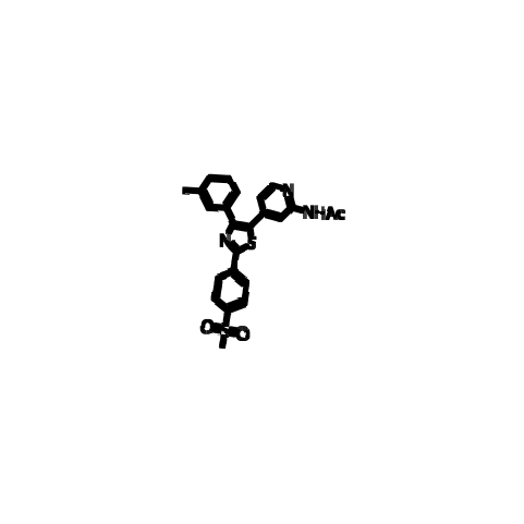 CC(=O)Nc1cc(-c2sc(-c3ccc(S(C)(=O)=O)cc3)nc2-c2cccc(C)c2)ccn1